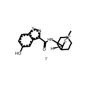 C[N+]12CCC(CC1)[C@H](NC(=O)c1nsc3ccc(O)cc13)C2.[I-]